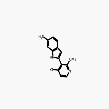 COc1nccc(Cl)c1-c1cc2ccc(N)cc2[nH]1